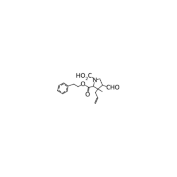 C=CCC1(C)C(C=O)CN(C(=O)O)C1C(=O)OCCc1ccccc1